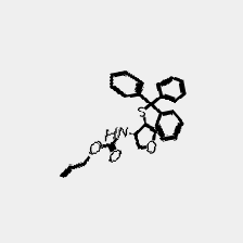 C=CCOC(=O)N[C@H]1COC[C@@H]1SC(c1ccccc1)(c1ccccc1)c1ccccc1